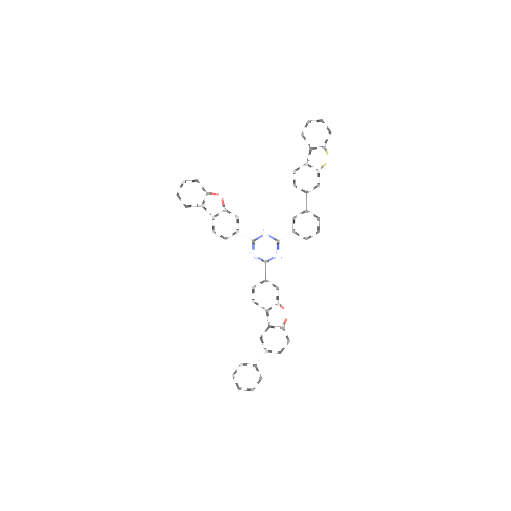 c1ccc(-c2ccc3oc4cc(-c5nc(-c6cccc(-c7ccc8c(c7)sc7ccccc78)c6)nc(-c6ccc7c(c6)oc6ccccc67)n5)ccc4c3c2)cc1